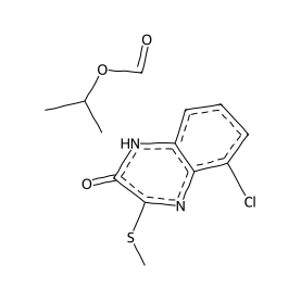 CC(C)OC=O.CSc1nc2c(Cl)cccc2[nH]c1=O